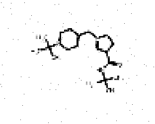 CC(C)(C)NC(=O)C1CCN(CC2CCN(C(C)(C)C)CC2)C1